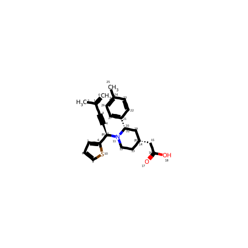 C=C(C)C#C[C@H](c1cccs1)N1CC[C@@H](CC(=O)O)C[C@H]1c1ccc(C)cc1